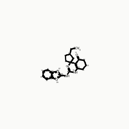 CCC1CCC2(C1)N=C(Nc1nc3ccccc3o1)NC1=C2C(=O)CCC1